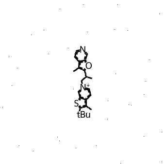 Cc1c(C(C)C[n+]2ccc3c(C)c(C(C)(C)C)sc3c2)oc2cnccc12